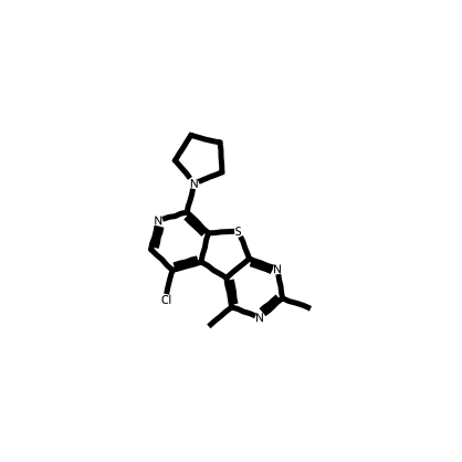 Cc1nc(C)c2c(n1)sc1c(N3CCCC3)ncc(Cl)c12